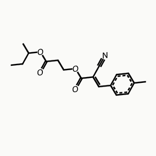 CCC(C)OC(=O)CCOC(=O)/C(C#N)=C/c1ccc(C)cc1